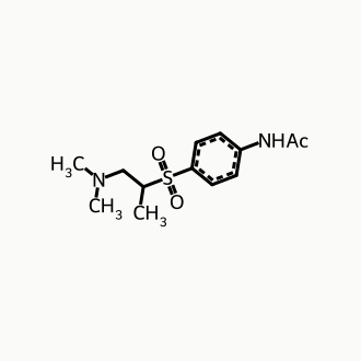 CC(=O)Nc1ccc(S(=O)(=O)C(C)CN(C)C)cc1